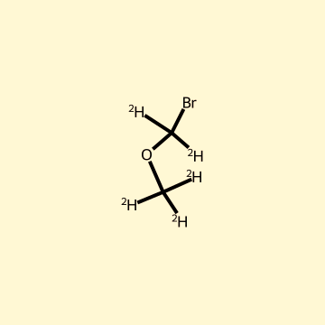 [2H]C([2H])([2H])OC([2H])([2H])Br